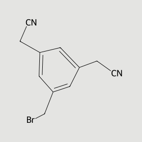 N#CCc1cc(CBr)cc(CC#N)c1